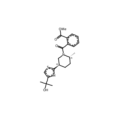 COC(=O)c1ccccc1C(=O)N1C[C@H](c2nc(C(C)(C)O)cs2)CC[C@H]1C